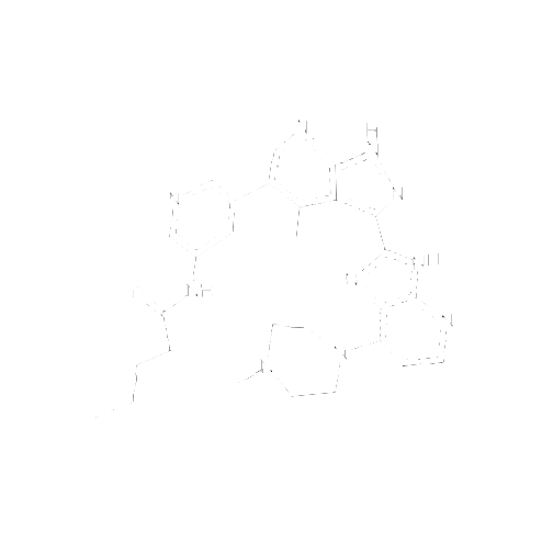 CCCCC(=O)Nc1cncc(-c2cnc3[nH]nc(-c4nc5c(N6CCN(C)CC6)ccnc5[nH]4)c3c2F)c1